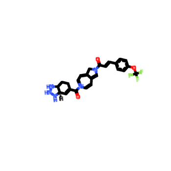 O=C(/C=C/c1ccc(OC(F)(F)F)cc1)N1C=C2C=C[N+](C(=O)C3=C[C@H]4NNNC4CC3)=CC=C2C1